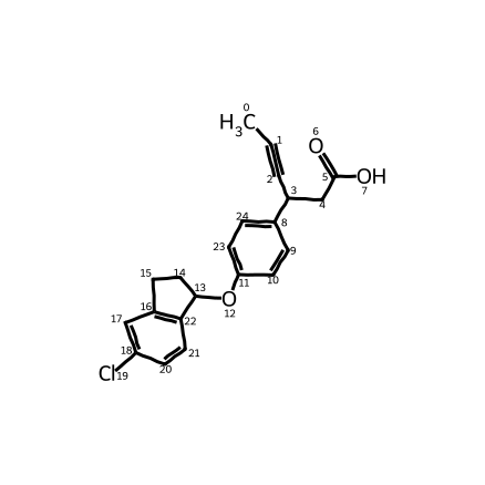 CC#CC(CC(=O)O)c1ccc(OC2CCc3cc(Cl)ccc32)cc1